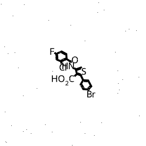 O=C(Nc1csc(-c2ccc(Br)cc2)c1C(=O)O)c1ccc(F)cc1Cl